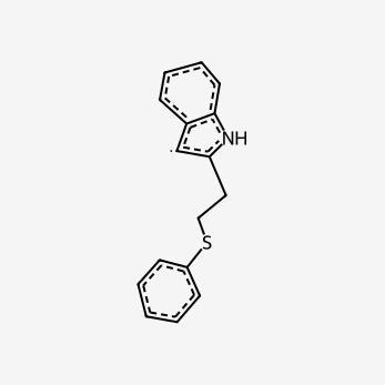 [c]1c(CCSc2ccccc2)[nH]c2ccccc12